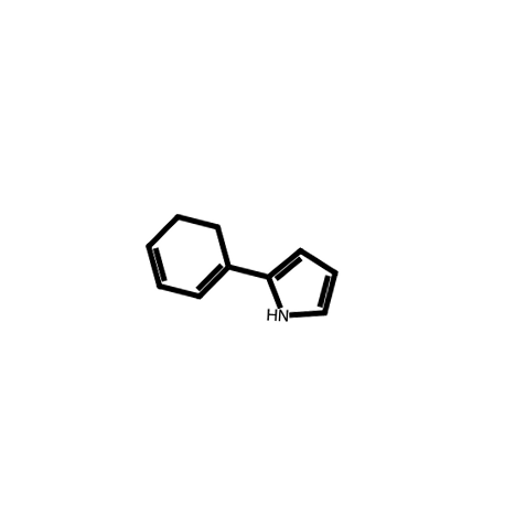 C1=CCCC(c2ccc[nH]2)=C1